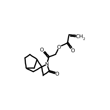 C=CC(=O)OCC(=O)N1C(=O)CC12CC1CCC2C1